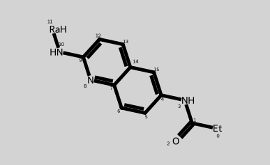 CCC(=O)Nc1ccc2nc([NH][RaH])ccc2c1